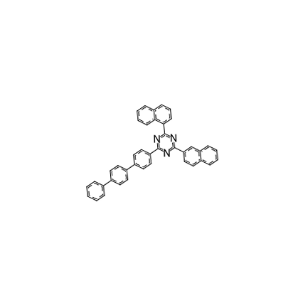 c1ccc(-c2ccc(-c3ccc(-c4nc(-c5ccc6ccccc6c5)nc(-c5cccc6ccccc56)n4)cc3)cc2)cc1